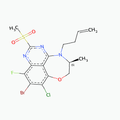 C=CCCN1c2nc(S(C)(=O)=O)nc3c(F)c(Br)c(Cl)c(c23)OC[C@@H]1C